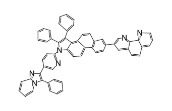 c1ccc(-c2c(-c3ccccc3)n(-c3ccc(-c4nc5ccccn5c4-c4ccccc4)cn3)c3ccc4c5ccc(-c6cnc7c(ccc8cccnc87)c6)cc5ccc4c23)cc1